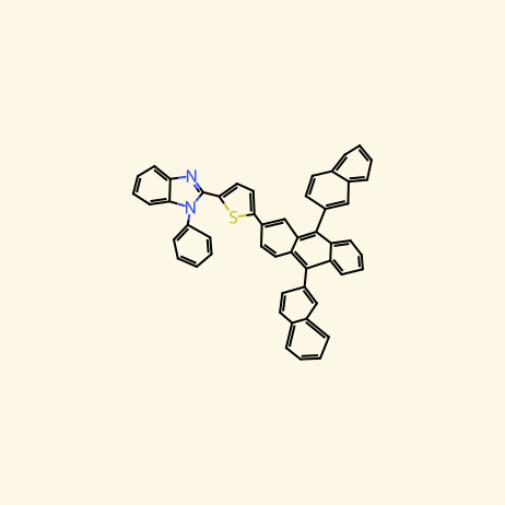 c1ccc(-n2c(-c3ccc(-c4ccc5c(-c6ccc7ccccc7c6)c6ccccc6c(-c6ccc7ccccc7c6)c5c4)s3)nc3ccccc32)cc1